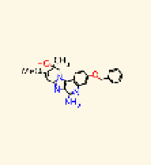 COCCc1nc2c(N)nc3cc(OCc4ccccc4)ccc3c2n1CC(C)(C)O